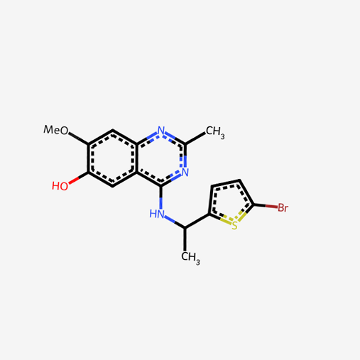 COc1cc2nc(C)nc(NC(C)c3ccc(Br)s3)c2cc1O